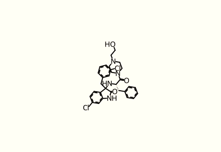 O=C([C@H](Cc1ccccc1)NC1(Cc2cccc(Cl)c2)C(=O)Nc2cc(Cl)ccc21)N1CCN(CCO)CC1